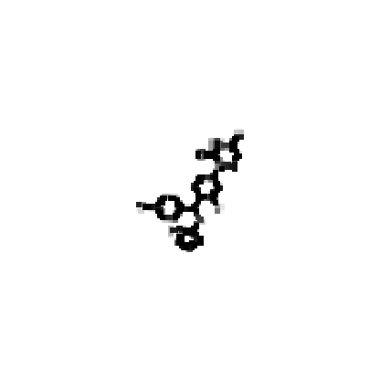 O=c1cnn(-c2ccc(C(Sc3ncc[nH]3)c3ccc(Cl)cc3)c(Cl)c2)c(=O)[nH]1